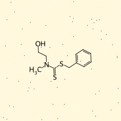 CN(CCO)C(=S)SCc1ccccc1